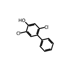 Oc1cc(Cl)c(-c2ccccc2)cc1Cl